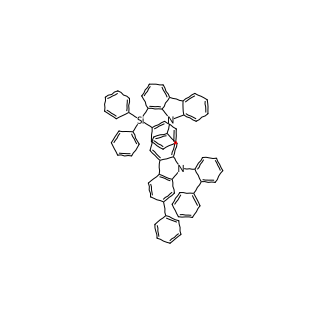 c1ccc(-c2ccc3c4ccc(-n5c6ccccc6c6cccc([Si](c7ccccc7)(c7ccccc7)c7ccccc7)c65)cc4n(-c4ccccc4-c4ccccc4)c3c2)cc1